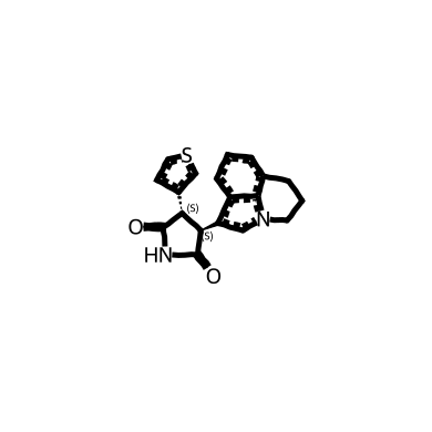 O=C1NC(=O)[C@H](c2cn3c4c(cccc24)CCC3)[C@H]1c1ccsc1